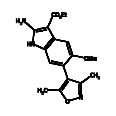 CCOC(=O)c1c(N)[nH]c2cc(-c3c(C)noc3C)c(OC)cc12